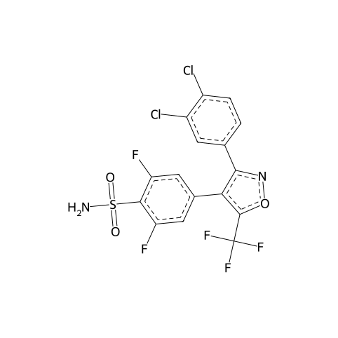 NS(=O)(=O)c1c(F)cc(-c2c(-c3ccc(Cl)c(Cl)c3)noc2C(F)(F)F)cc1F